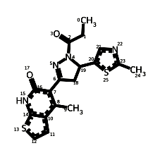 CCC(=O)N1N=C(c2c(C)c3ccsc3[nH]c2=O)CC1c1cnc(C)s1